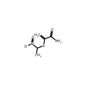 C=C(SC(C)[N+](=O)[O-])C(N)=O